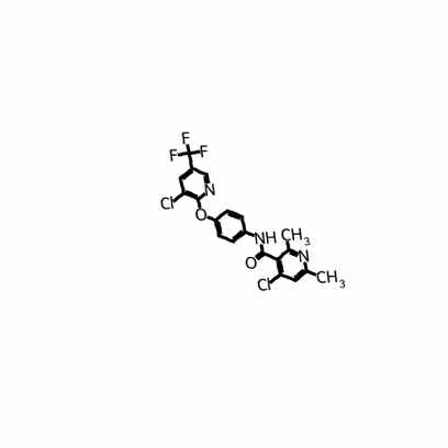 Cc1cc(Cl)c(C(=O)Nc2ccc(Oc3ncc(C(F)(F)F)cc3Cl)cc2)c(C)n1